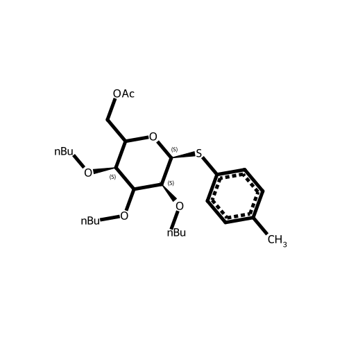 CCCCOC1[C@@H](OCCCC)C(COC(C)=O)O[C@@H](Sc2ccc(C)cc2)[C@H]1OCCCC